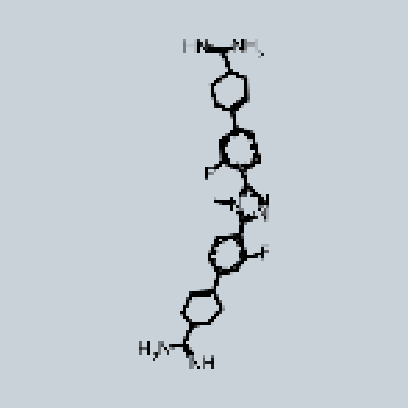 Cn1c(-c2ccc(C3=CCC(C(=N)N)CC3)cc2F)nnc1-c1ccc(C2=CCC(C(=N)N)CC2)cc1F